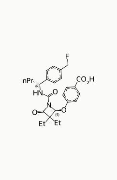 CCC[C@@H](NC(=O)N1C(=O)C(CC)(CC)[C@@H]1Oc1ccc(C(=O)O)cc1)c1ccc(CF)cc1